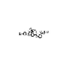 C[C@H](NC(=O)C(F)(F)F)[C@H](Oc1ccc(C(=O)O[C@H]2CCCN(C(=O)OC(C)(C)C)C2)cc1)c1ccc(Br)cc1